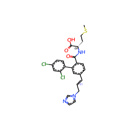 CSCC[C@H](NC(=O)c1ccc(/C=C/Cn2ccnc2)cc1-c1ccc(Cl)cc1Cl)C(=O)O